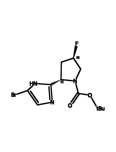 CC(C)(C)OC(=O)N1C[C@H](F)C[C@H]1c1ncc(Br)[nH]1